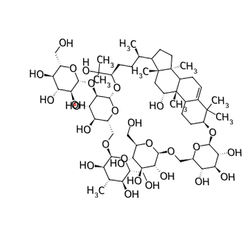 C[C@@H]1[C@@H](O)[C@@H](OC[C@H]2O[C@@H](O[C@H](CC[C@@H](C)C3CC[C@@]4(C)C5CC=C6C(CC[C@H](O[C@@H]7O[C@H](CO[C@@H]8O[C@H](CO)[C@@H](O)[C@H](O)[C@H]8O)[C@@H](O)[C@H](O)[C@H]7O)C6(C)C)[C@]5(C)[C@H](O)C[C@]34C)C(C)(C)O)[C@H](O[C@H]3O[C@@H](CO)[C@H](O)[C@@H](O)[C@@H]3O)[C@@H](O)[C@@H]2O)O[C@H](CO)[C@H]1O